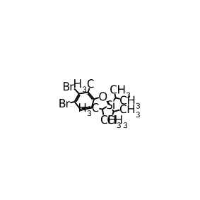 Cc1c(O[Si](C(C)C)(C(C)C)C(C)C)ccc(Br)c1Br